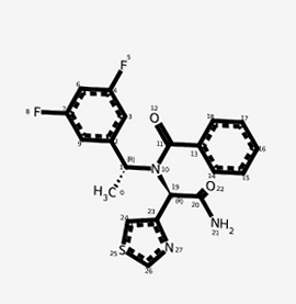 C[C@H](c1cc(F)cc(F)c1)N(C(=O)c1ccccc1)[C@@H](C(N)=O)c1cscn1